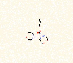 C1COCCN1.C=CCOC(=O)N1CCOCC1